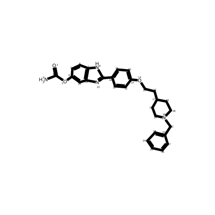 NC(=O)Oc1ccc2[nH]c(-c3ccc(OCCC4CCN(Cc5ccccc5)CC4)cc3)nc2c1